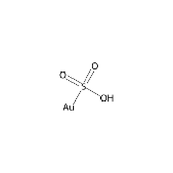 O=[S](=O)(O)[Au]